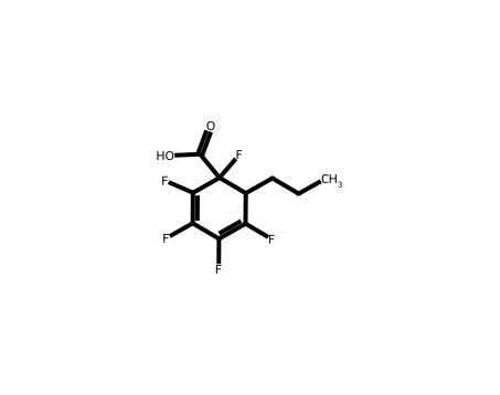 CCCC1C(F)=C(F)C(F)=C(F)C1(F)C(=O)O